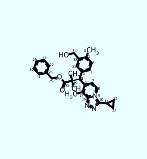 Cc1ccc([C@@H](c2ccn3c(C4CC4)nnc3c2C)C(C)(C)C(=O)OCc2ccccc2)cc1CO